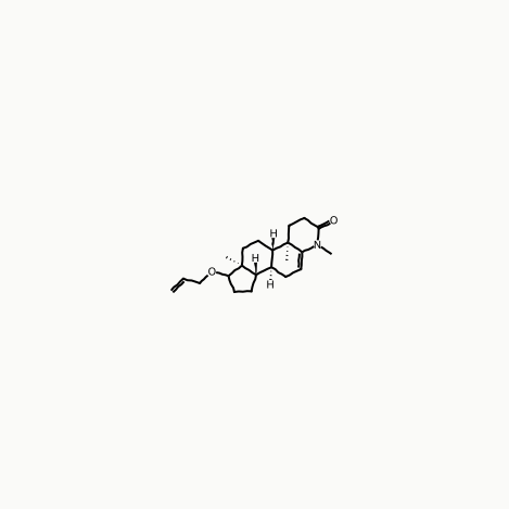 C=CCOC1CC[C@H]2[C@@H]3CC=C4N(C)C(=O)CC[C@]4(C)[C@H]3CC[C@]12C